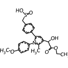 CCOC(=O)C(O)c1cc(-c2ccc(CS(=O)O)cc2)n(-c2ccc(OC)cc2)c1C